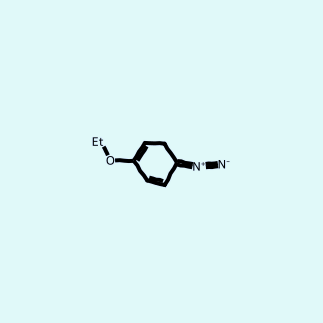 CCOC1=CCC(=[N+]=[N-])C=C1